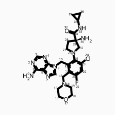 Nc1ncnc2c1ncn2Cc1c(CN2CCOCC2)c(F)cc(Cl)c1N1CC[C@](N)(C(=O)NC2CC2)C1